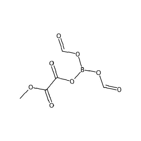 COC(=O)C(=O)OB(OC=O)OC=O